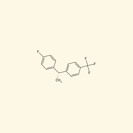 C[C@H](c1ccc(F)cc1)c1ccc(C(F)(F)F)cc1